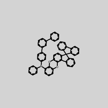 c1ccc(-c2cccc(-c3ccc(N(c4ccccc4)c4cccc5c4Oc4ccc6c(c4O5)-c4ccccc4C64c5ccccc5-c5ccccc54)cc3)c2)cc1